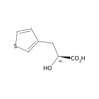 O=C(O)[C@@H](O)Cc1ccsc1